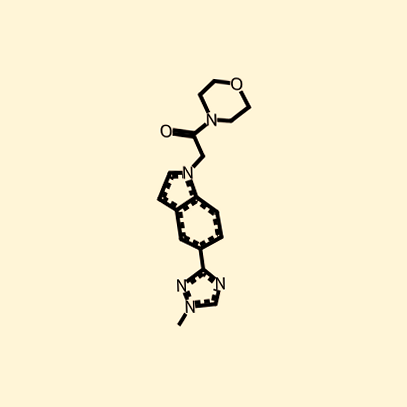 Cn1cnc(-c2ccc3c(ccn3CC(=O)N3CCOCC3)c2)n1